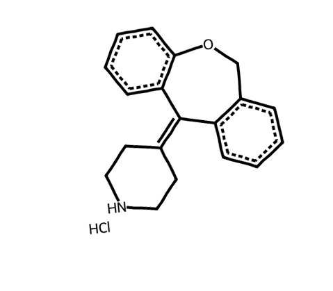 Cl.c1ccc2c(c1)COc1ccccc1C2=C1CCNCC1